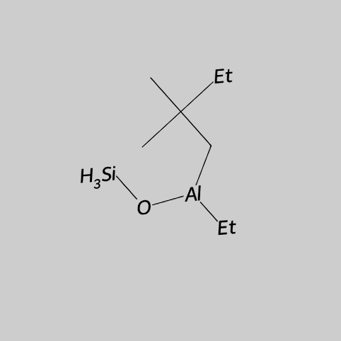 C[CH2][Al]([CH2]C(C)(C)CC)[O][SiH3]